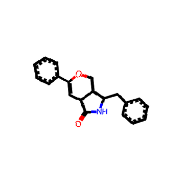 O=C1NC(Cc2ccccc2)C2COC(c3ccccc3)=CC12